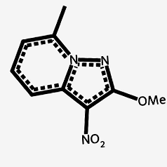 COc1nn2c(C)cccc2c1[N+](=O)[O-]